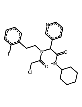 O=C(NC1CCCCC1)C(c1cccnc1)N(CCc1ccccc1F)C(=O)CCl